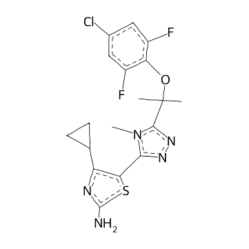 Cn1c(-c2sc(N)nc2C2CC2)nnc1C(C)(C)Oc1c(F)cc(Cl)cc1F